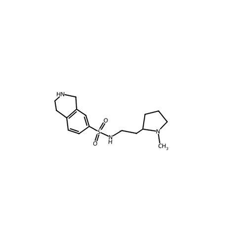 CN1CCCC1C[CH]NS(=O)(=O)c1ccc2c(c1)CNCC2